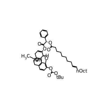 CCCCCCCCC=CCCCCCCCC(=O)O[C@H](C(=O)OC1=CC[C@]2(O)C3Cc4ccc(OC(=O)OC(C)(C)C)c5c4[C@@]2(CCN3C)[C@H]1O5)c1ccccc1